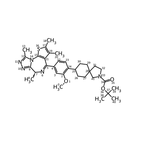 COc1cc(C2=N[C@@H](C)c3nnc(C)n3-c3sc(C)c(C)c32)ccc1C1CCC2(CC1)CCN(C(=O)OC(C)(C)C)C2